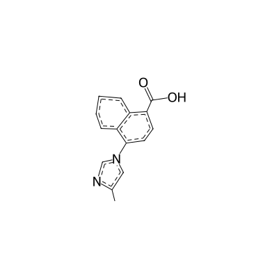 Cc1cn(-c2ccc(C(=O)O)c3ccccc23)cn1